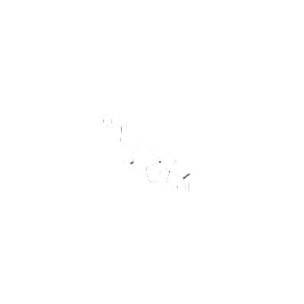 COCCOC(=O)[C@H]1CC[C@@](C)(C(=O)O)C1(C)C